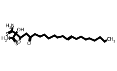 CCCCCCCCC=CCCCCCCCC(=O)CC(O)C(O)(C(N)=S)C(N)=S